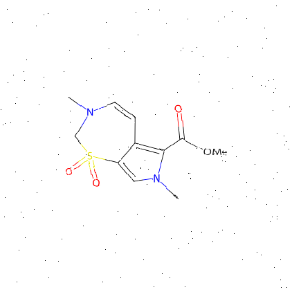 COC(=O)c1c2c(cn1C)S(=O)(=O)CN(C)C=C2